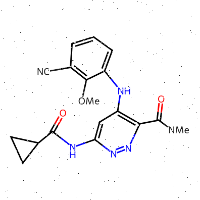 CNC(=O)c1nnc(NC(=O)C2CC2)cc1Nc1cccc(C#N)c1OC